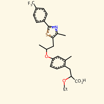 CCOC(Cc1ccc(OC(C)Cc2sc(-c3ccc(C(F)(F)F)cc3)nc2C)cc1C)C(=O)O